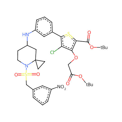 CC(C)(C)OC(=O)COc1c(C(=O)OC(C)(C)C)sc(-c2cccc(NC3CCN(S(=O)(=O)Cc4cccc([N+](=O)[O-])c4)C4(CC4)C3)c2)c1Cl